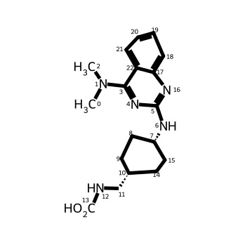 CN(C)c1nc(N[C@H]2CC[C@@H](CNC(=O)O)CC2)nc2ccccc12